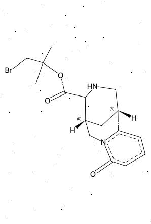 CC(C)(CBr)OC(=O)C1NC[C@H]2C[C@@H]1Cn1c2cccc1=O